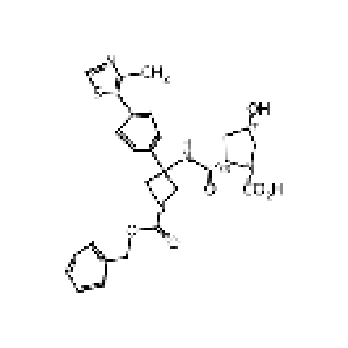 Cc1ncsc1-c1ccc(C2(NC(=O)[C@@H]3C[C@@H](O)CN3C(=O)O)CN(C(=O)OCc3ccccc3)C2)cc1